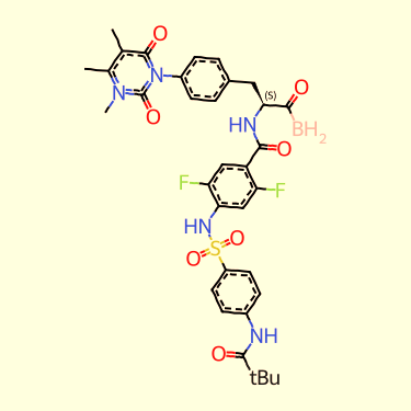 BC(=O)[C@H](Cc1ccc(-n2c(=O)c(C)c(C)n(C)c2=O)cc1)NC(=O)c1cc(F)c(NS(=O)(=O)c2ccc(NC(=O)C(C)(C)C)cc2)cc1F